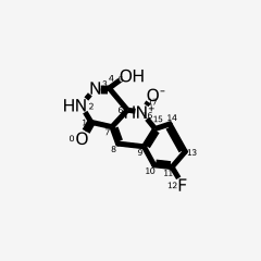 O=C1NN=C(O)C2C1=Cc1cc(F)ccc1[NH+]2[O-]